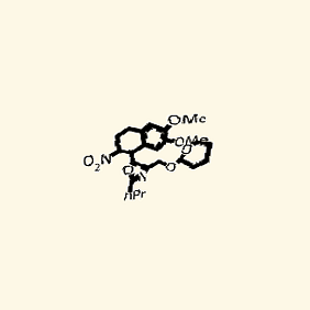 CCCc1nc(COC2CCCCO2)c(C2c3cc(OC)c(OC)cc3CCC2[N+](=O)[O-])o1